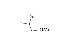 COCC(C)[S]